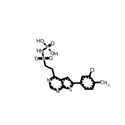 Cc1ccc(-c2cc3c(CCS(=O)(=O)NP(=O)(O)O)ncnc3s2)cc1Cl